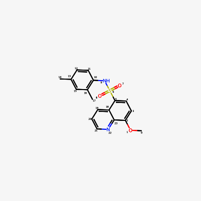 COc1ccc(S(=O)(=O)Nc2ccc(C)cc2C)c2cccnc12